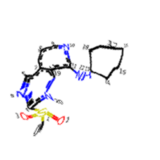 CS(=O)(=O)c1ncc2ccnc(NC3CCCCC3)c2n1